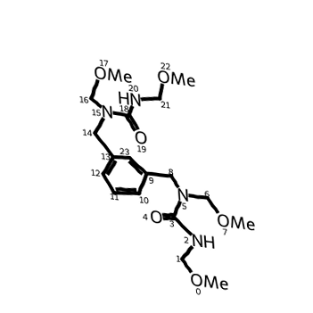 COCNC(=O)N(COC)Cc1cccc(CN(COC)C(=O)NCOC)c1